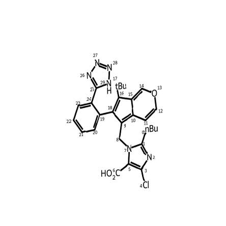 CCCCc1nc(Cl)c(C(=O)O)n1Cc1c2ccocc-2c(C(C)(C)C)c1-c1ccccc1-c1nnn[nH]1